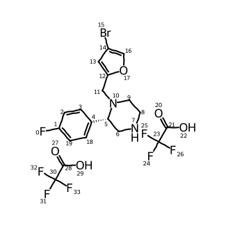 Fc1ccc([C@H]2CNCCN2Cc2cc(Br)co2)cc1.O=C(O)C(F)(F)F.O=C(O)C(F)(F)F